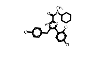 CN(C(=O)c1nc(-c2ccc(Cl)cc2Cl)c(Cc2ccc(Cl)cc2)[nH]1)C1CCCCC1